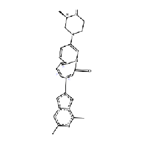 Cc1cn2cc(C3=C\C(=O)N4C=C(N5CCN[C@H](C)C5)C=C\C4=C/C=C/3)cc2c(C)n1